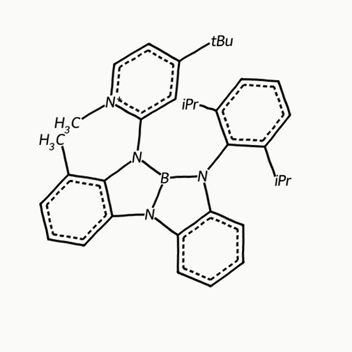 Cc1cccc2c1N(c1cc(C(C)(C)C)cc[n+]1C)B1N2c2ccccc2N1c1c(C(C)C)cccc1C(C)C